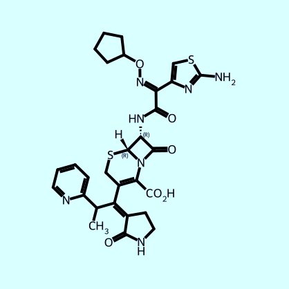 CC(C(=C1CCNC1=O)C1=C(C(=O)O)N2C(=O)[C@@H](NC(=O)C(=NOC3CCCC3)c3csc(N)n3)[C@H]2SC1)c1ccccn1